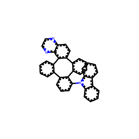 c1ccc2c(c1)-c1ccc3nccnc3c1-c1ccccc1-c1cccc(-n3c4ccccc4c4ccccc43)c1-2